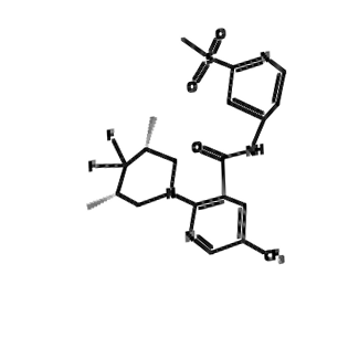 C[C@@H]1CN(c2ncc(C(F)(F)F)cc2C(=O)Nc2ccnc(S(C)(=O)=O)c2)C[C@H](C)C1(F)F